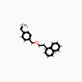 C=Cc1ccc(COCCc2cccc3ccccc23)cc1